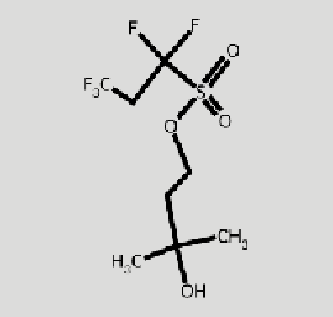 CC(C)(O)CCOS(=O)(=O)C(F)(F)CC(F)(F)F